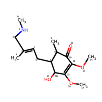 CNC/C(C)=C/CC1C(C)C(=O)C(OC)=C(OC)C1O